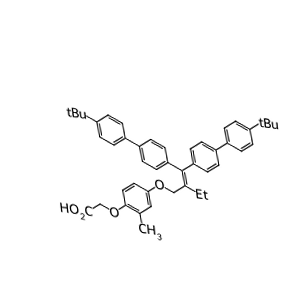 CCC(COc1ccc(OCC(=O)O)c(C)c1)=C(c1ccc(-c2ccc(C(C)(C)C)cc2)cc1)c1ccc(-c2ccc(C(C)(C)C)cc2)cc1